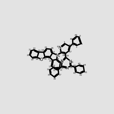 c1ccc(-c2cnc(-n3c4ccccc4c4c5oc6ccccc6c5ccc43)c(-c3nc(-c4ccccc4)nc(-c4ccccc4)n3)c2)cc1